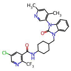 Cc1cc(C)c(-n2c(=O)n(CC3CCC(NC(=O)c4cc(Cl)cnc4C(F)(F)F)CC3)c3ccccc32)cn1